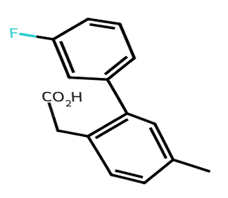 Cc1ccc(CC(=O)O)c(-c2cccc(F)c2)c1